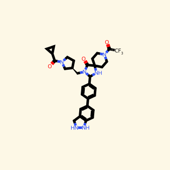 O=C(C1CC1)N1CC[C@@H](CN2C(=O)C3(CCN(C(=O)C(F)(F)F)CC3)NC2c2ccc(-c3ccc4c(c3)CNN4)cc2)C1